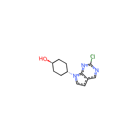 O[C@H]1CC[C@H](n2ccc3cnc(Cl)nc32)CC1